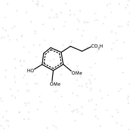 COc1c(O)ccc(CCC(=O)O)c1OC